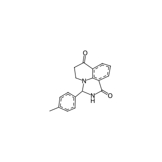 Cc1ccc(C2NC(=O)c3cccc4c3N2CCC4=O)cc1